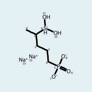 CC(CCCP(=O)([O-])[O-])[SiH](O)O.[Na+].[Na+]